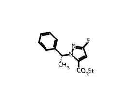 CCOC(=O)c1cc(F)nn1[C@H](C)c1ccccc1